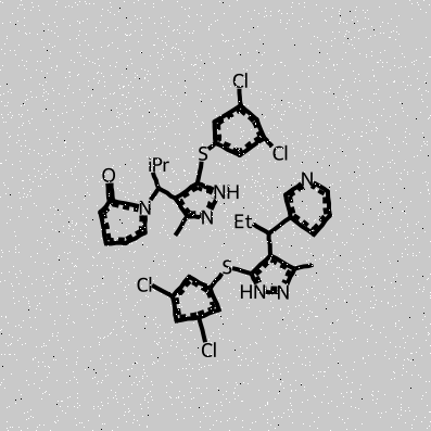 CCC(c1cccnc1)c1c(C)n[nH]c1Sc1cc(Cl)cc(Cl)c1.Cc1n[nH]c(Sc2cc(Cl)cc(Cl)c2)c1C(C(C)C)n1ccccc1=O